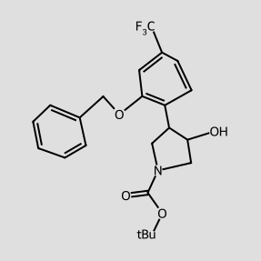 CC(C)(C)OC(=O)N1CC(O)C(c2ccc(C(F)(F)F)cc2OCc2ccccc2)C1